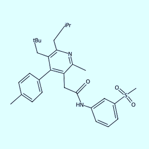 Cc1ccc(-c2c(CC(=O)Nc3cccc(S(C)(=O)=O)c3)c(C)nc(CC(C)C)c2CC(C)(C)C)cc1